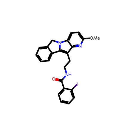 COc1ccc2c(n1)c(CCNC(=O)c1ccccc1I)c1n2Cc2ccccc2-1